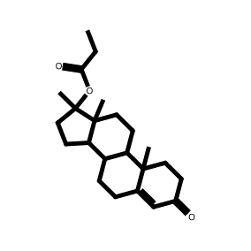 CCC(=O)OC1(C)CCC2C3CCC4=CC(=O)CCC4(C)C3CCC21C